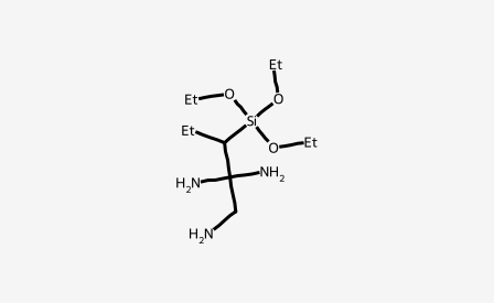 CCO[Si](OCC)(OCC)C(CC)C(N)(N)CN